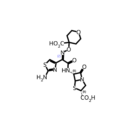 Nc1nc(/C(=N/OC2(C(=O)O)CCOCC2)C(=O)N[C@@H]2C(=O)N3C[C@H](C(=O)O)SC23)cs1